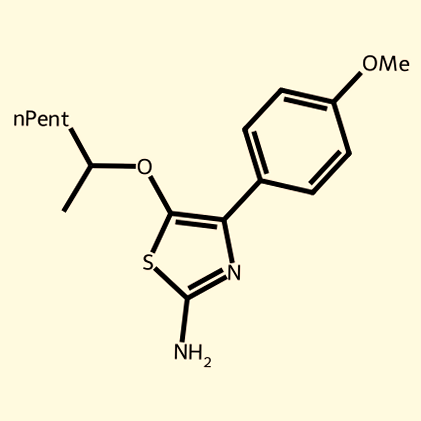 CCCCCC(C)Oc1sc(N)nc1-c1ccc(OC)cc1